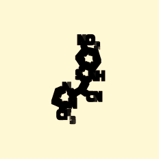 N#C/C(=C1\Nc2ccc([N+](=O)[O-])cc2S1)c1nccc(C(F)(F)F)n1